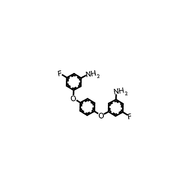 Nc1cc(F)cc(Oc2ccc(Oc3cc(N)cc(F)c3)cc2)c1